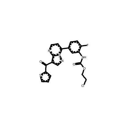 O=C(Nc1cc(-c2ccnc3c(C(=O)c4cccs4)cnn23)ccc1F)OCCCl